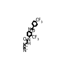 [N-]=[N+]=NCC(=O)Nc1ccc2nc(-c3ccc(C(F)(F)F)cc3)oc2c1C(F)(F)F